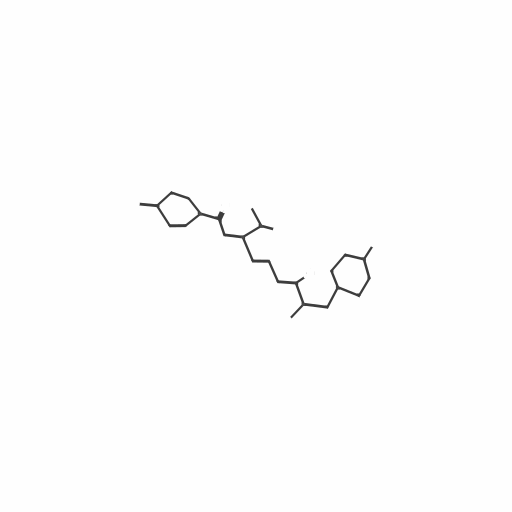 CC1CCC(CC(C)C(O)CCCC(CC(=O)C2CCC(C)CC2)C(C)C)CC1